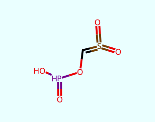 O=[PH](O)OC=S(=O)=O